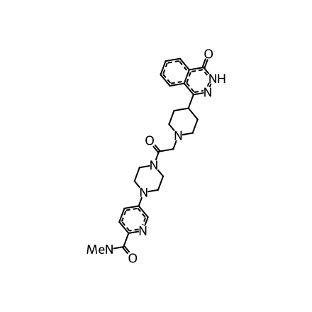 CNC(=O)c1ccc(N2CCN(C(=O)CN3CCC(c4n[nH]c(=O)c5ccccc45)CC3)CC2)cn1